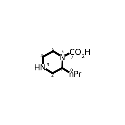 CCCC1CNCCN1C(=O)O